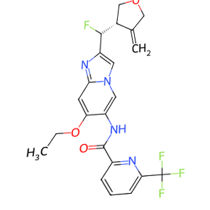 C=C1COC[C@H]1C(F)c1cn2cc(NC(=O)c3cccc(C(F)(F)F)n3)c(OCC)cc2n1